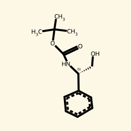 CC(C)(C)OC(=O)N[C@H](CO)c1ccccc1